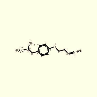 [N-]=[N+]=NCCOc1ccc(C[C@H](N)C(=O)O)cc1